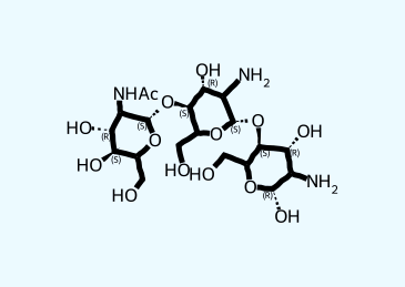 CC(=O)NC1[C@H](O[C@@H]2C(CO)O[C@@H](O[C@@H]3C(CO)O[C@@H](O)C(N)[C@H]3O)C(N)[C@H]2O)OC(CO)[C@@H](O)[C@@H]1O